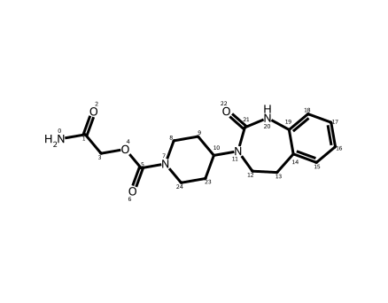 NC(=O)COC(=O)N1CCC(N2CCc3ccccc3NC2=O)CC1